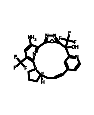 Nc1cc(C(F)(F)F)c2nc1-c1nnc(o1)C(O)(C(F)(F)F)c1cc(ccn1)C=CC[C@@H]1CCCN21